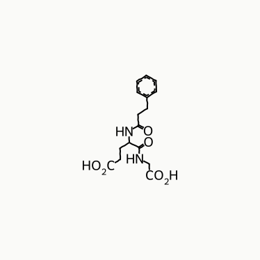 O=C(O)CCC(NC(=O)CCc1ccccc1)C(=O)NCC(=O)O